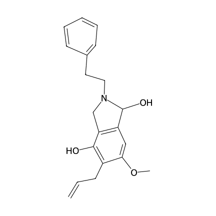 C=CCc1c(OC)cc2c(c1O)CN(CCc1ccccc1)C2O